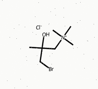 CC(O)(CBr)C[N+](C)(C)C.[Cl-]